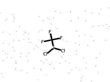 FC(F)(F)I(Cl)Cl